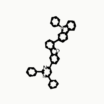 c1ccc(-c2cc(-c3ccc4oc5c(-c6ccc7c8ccccc8n(-c8ccccc8)c7c6)cccc5c4c3)nc(-c3ccccc3)n2)cc1